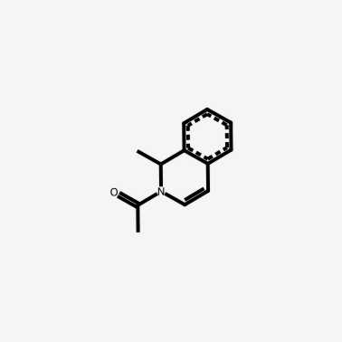 CC(=O)N1C=Cc2ccccc2C1C